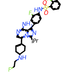 CC(C)c1nc(-c2ccc(NS(=O)(=O)c3ccccc3F)c(F)c2)c2c(N)ncc(C3=CCC(NCCF)CC3)n12